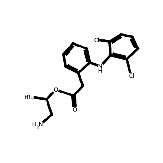 CC(C)(C)C(CN)OC(=O)Cc1ccccc1Nc1c(Cl)cccc1Cl